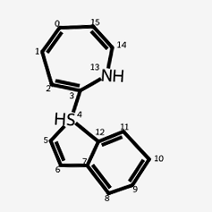 C1=CC=C([SH]2C=Cc3ccccc32)NC=C1